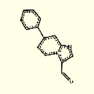 O=Cc1cnc2cc(-c3ccccc3)ccn12